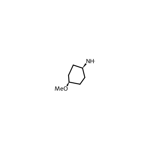 CO[C@H]1CC[C@@H]([NH])CC1